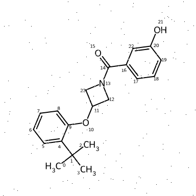 CC(C)(C)c1ccccc1OC1CN(C(=O)c2cccc(O)c2)C1